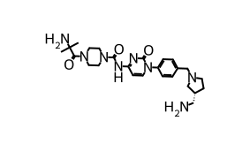 CC(C)(N)C(=O)N1CCN(C(=O)Nc2ccn(-c3ccc(CN4CC[C@H](CN)C4)cc3)c(=O)n2)CC1